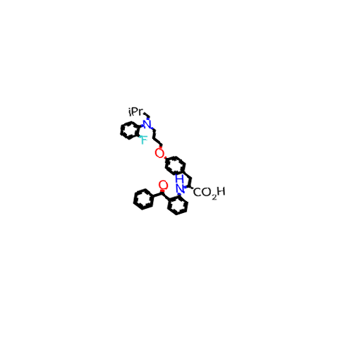 CC(C)CN(CCCOc1ccc(CC(Nc2ccccc2C(=O)c2ccccc2)C(=O)O)cc1)c1ccccc1F